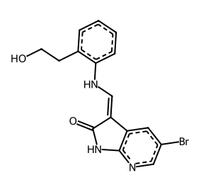 O=C1Nc2ncc(Br)cc2C1=CNc1ccccc1CCO